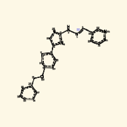 C(=N\Nc1nc(-c2ccc(OCc3ccccc3)cc2)cs1)/c1cccnc1